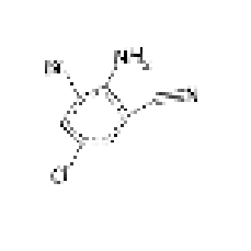 N#Cc1cc(Cl)cc(Br)c1N